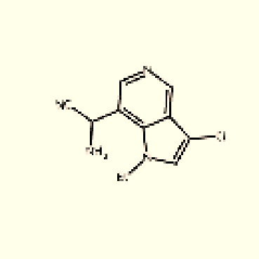 CCn1cc(Cl)c2cncc(C(N)C#N)c21